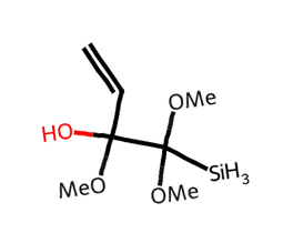 C=CC(O)(OC)C([SiH3])(OC)OC